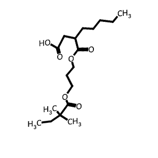 CCCCCC(CC(=O)O)C(=O)OCCCOC(=O)C(C)(C)CC